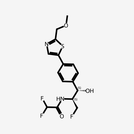 COCc1ncc(-c2ccc([C@H](O)[C@@H](CF)NC(=O)C(F)F)cc2)s1